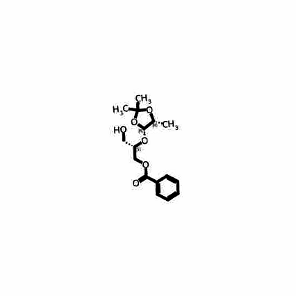 C[C@H]1OC(C)(C)O[C@H]1O[C@@H](CO)COC(=O)c1ccccc1